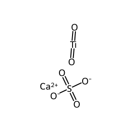 O=S(=O)([O-])[O-].[Ca+2].[O]=[Ti]=[O]